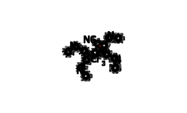 N#Cc1cccc(-c2cc(-n3c4ccc(-c5ccnc(-c6ccccc6)c5)cc4c4cc(-c5ccnc(-c6ccccc6)c5)ccc43)c(C(F)(F)F)cc2-n2c3ccc(-c4ccnc(-c5ccccc5)c4)cc3c3cc(-c4ccnc(-c5ccccc5)c4)ccc32)c1